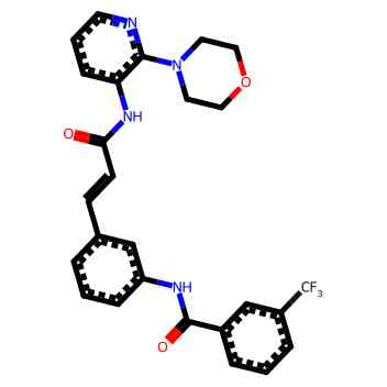 O=C(/C=C/c1cccc(NC(=O)c2cccc(C(F)(F)F)c2)c1)Nc1cccnc1N1CCOCC1